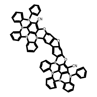 N#Cc1c2c3c4c5c1N(c1ccccc1)c1ccccc1B5c1ccccc1N4c1ccccc1B3c1cc3c(cc1O2)oc1cc2c(cc13)B1c3ccccc3N3c4ccccc4B4c5ccccc5N(c5ccccc5)c5c(C#N)c(c1c3c54)O2